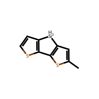 Cc1cc2c(s1)-c1sccc1[SiH2]2